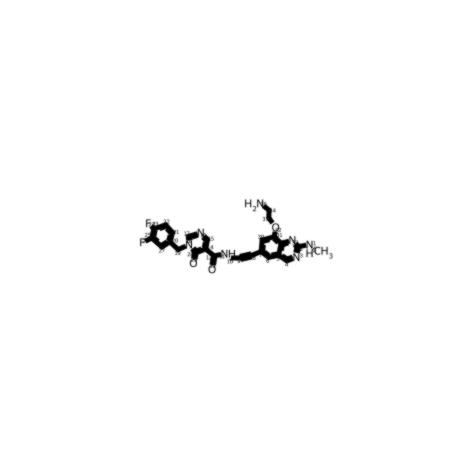 CNc1ncc2cc(C#CCNC(=O)c3cncn(Cc4ccc(F)c(F)c4)c3=O)cc(OCCN)c2n1